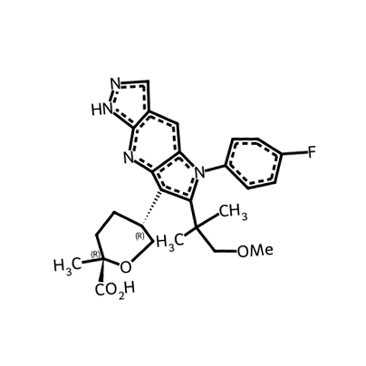 COCC(C)(C)c1c([C@H]2CC[C@](C)(C(=O)O)OC2)c2nc3[nH]ncc3cc2n1-c1ccc(F)cc1